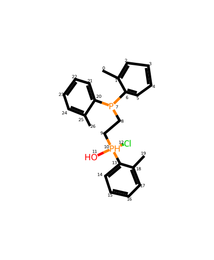 Cc1ccccc1P(CC[PH](O)(Cl)c1ccccc1C)c1ccccc1C